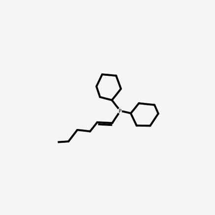 CCCCC=CP(C1CCCCC1)C1CCCCC1